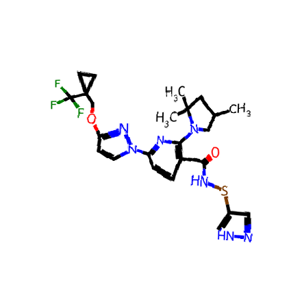 CC1CN(c2nc(-n3ccc(OCC4(C(F)(F)F)CC4)n3)ccc2C(=O)NSc2cn[nH]c2)C(C)(C)C1